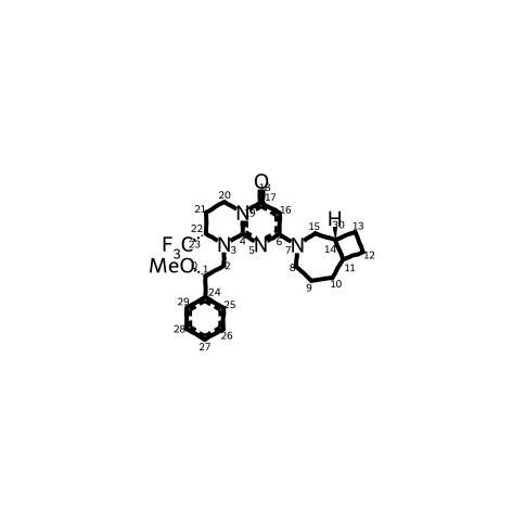 CO[C@H](CN1c2nc(N3CCCC4CC[C@H]4C3)cc(=O)n2CC[C@H]1C(F)(F)F)c1ccccc1